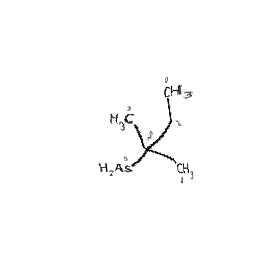 CCC(C)(C)[AsH2]